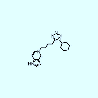 C1=CN(CCCCc2nnnn2C2CCCCC2)Cc2nc[nH]c21